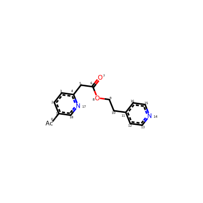 CC(=O)c1ccc(CC(=O)OCCc2ccncc2)nc1